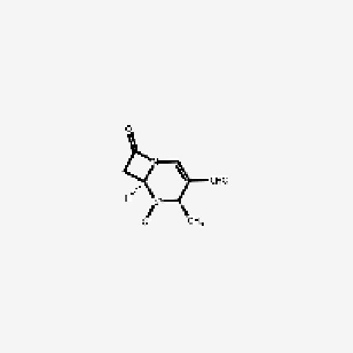 C[C@@H]1C(C=O)=CN2C(=O)C[C@@H]2[S+]1[O-]